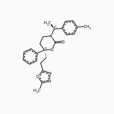 Cc1ccc([C@H](C)N2CC[C@](CCc3nnc(C)o3)(c3ccccc3)OC2=O)cc1